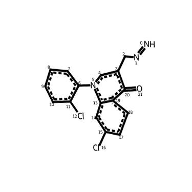 N=NCc1cn(-c2ccccc2Cl)c2cc(Cl)ccc2c1=O